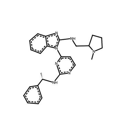 C[C@H](Nc1nccc(-n2c(NCC3CCCN3C)nc3ccccc32)n1)c1ccccc1